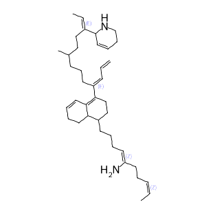 C=C/C=C(\CCCC(C)CC/C(=C\C)C1C=CCCN1)C1=C2C=CCCC2C(CCC/C=C(\N)CC/C=C\C)CC1